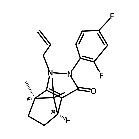 C=CCn1c2c(c(=O)n1-c1ccc(F)cc1F)[C@H]1CC[C@]2(C)C1(C)C